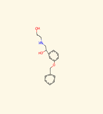 OCCNCC(O)c1cccc(OCc2ccccc2)c1